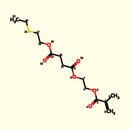 C=C(C)C(=O)OCCOC(=O)CCC(=O)OCCSCC